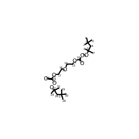 CC(C)(C)CC(C)(C)OOC(=O)OCCOCCOC(=O)OOC(C)(C)CC(C)(C)C